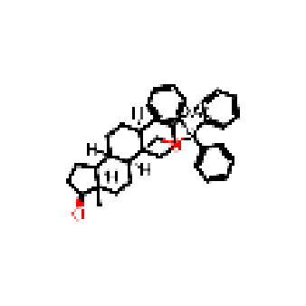 CC(=O)OC1CC[C@@]2(CO[Si](c3ccccc3)(c3ccccc3)c3ccccc3)[C@@H](CC[C@@H]3[C@@H]2CC[C@]2(C)C(=O)CC[C@@H]32)C1